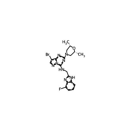 C[C@@H]1CN(c2nc(NCc3nc4c(F)cccc4[nH]3)n3ncc(Br)c3n2)C[C@H](C)O1